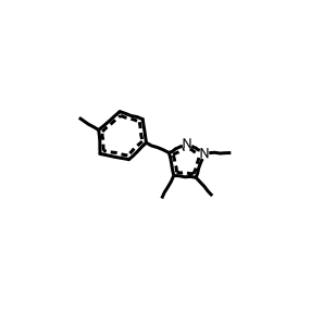 Cc1ccc(-c2nn(C)c(C)c2C)cc1